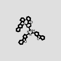 C1=C(C2=NC(c3ccc4c(c3)oc3ccccc34)=NC(c3ccc4c(c3)oc3ccccc34)N2)CC(n2c3ccccc3c3cc4ccccc4cc32)c2c1oc1ccccc21